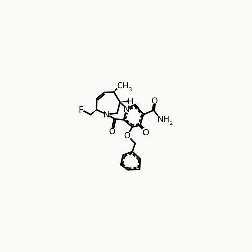 C[C@@H]1C=C[C@H](CF)N2C[C@H]1n1cc(C(N)=O)c(=O)c(OCc3ccccc3)c1C2=O